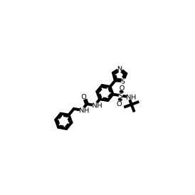 CC(C)(C)NS(=O)(=O)c1cc(NC(=O)NCc2ccccc2)ccc1-c1cncs1